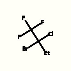 CCC(Cl)(Br)C(F)(F)F